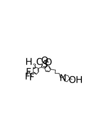 CC1=C(c2ccc(C(F)(F)F)cc2)c2ccc(CCCCN3CCC(O)CC3)cc2S1(=O)=O